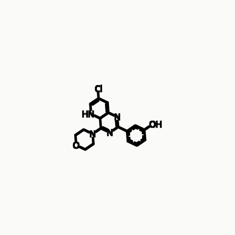 Oc1cccc(C2=NC3=CC(Cl)=CNC3C(N3CCOCC3)=N2)c1